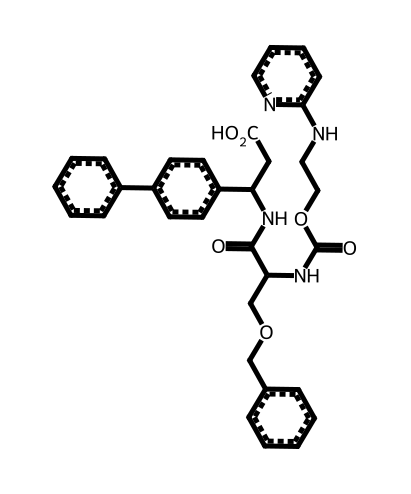 O=C(O)CC(NC(=O)C(COCc1ccccc1)NC(=O)OCCNc1ccccn1)c1ccc(-c2ccccc2)cc1